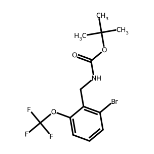 CC(C)(C)OC(=O)NCc1c(Br)cccc1OC(F)(F)F